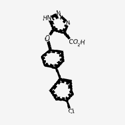 O=C(O)c1nn[nH]c1Oc1ccc(-c2ccc(Cl)cc2)cc1